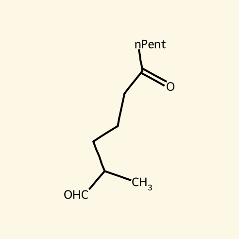 CCCCCC(=O)CCCC(C)C=O